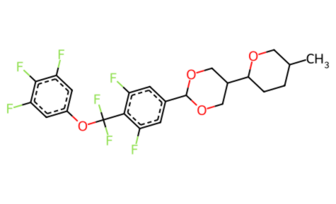 CC1CCC(C2COC(c3cc(F)c(C(F)(F)Oc4cc(F)c(F)c(F)c4)c(F)c3)OC2)OC1